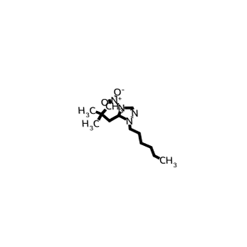 CCCCCCN1N=CN([N+](=O)[O-])C1CC(C)(C)C